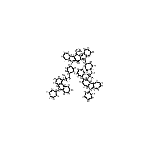 CC(C)(C)c1c2c3ccccc3n(-c3ccc(CC(C)(C)c4cccc5c4c4ccccc4n5-c4ccccc4)cc3)c2cc2c1c1ccccc1n2-c1ccc(CC(C)(C)c2c(-c3ccccc3)ccc3c2c2ccccc2n3-c2ccccc2)cc1